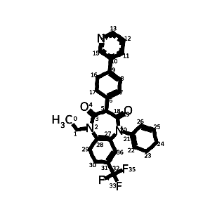 CCN1C(=O)C(C2=CC=C(c3cccnc3)CC2)C(=O)N(C2=CCCC=C2)C2=C1CCC(C(F)(F)F)=C2